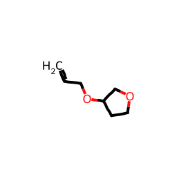 C=CCOC1CCOC1